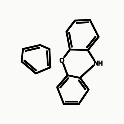 c1ccc2c(c1)Nc1ccccc1O2.c1ccccc1